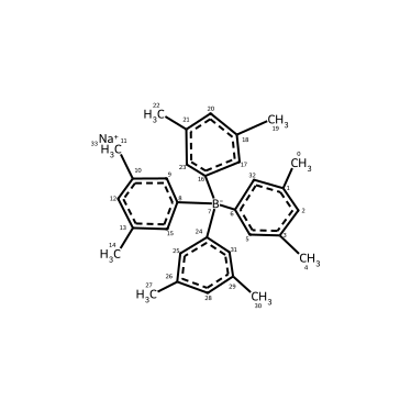 Cc1cc(C)cc([B-](c2cc(C)cc(C)c2)(c2cc(C)cc(C)c2)c2cc(C)cc(C)c2)c1.[Na+]